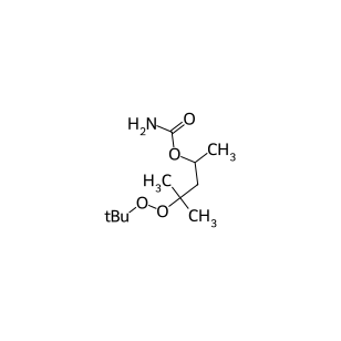 CC(CC(C)(C)OOC(C)(C)C)OC(N)=O